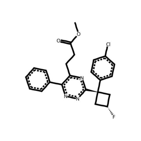 COC(=O)CCc1nc([C@]2(c3ccc(Cl)cc3)C[C@@H](F)C2)nnc1-c1ccccc1